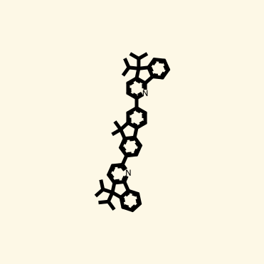 CC(C)C1(C(C)C)c2ccccc2-c2nc(-c3ccc4c(c3)C(C)(C)c3cc(-c5ccc6c(n5)-c5ccccc5C6(C(C)C)C(C)C)ccc3-4)ccc21